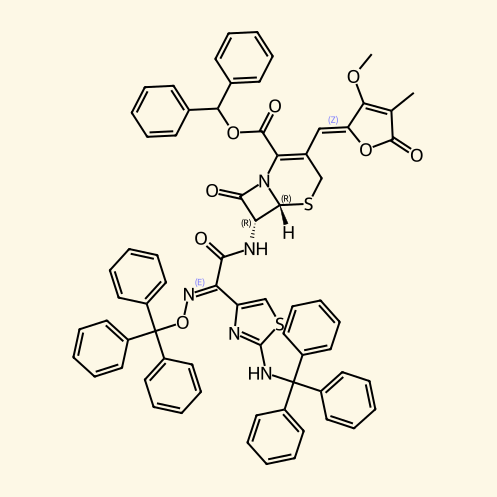 COC1=C(C)C(=O)O/C1=C\C1=C(C(=O)OC(c2ccccc2)c2ccccc2)N2C(=O)[C@@H](NC(=O)/C(=N/OC(c3ccccc3)(c3ccccc3)c3ccccc3)c3csc(NC(c4ccccc4)(c4ccccc4)c4ccccc4)n3)[C@H]2SC1